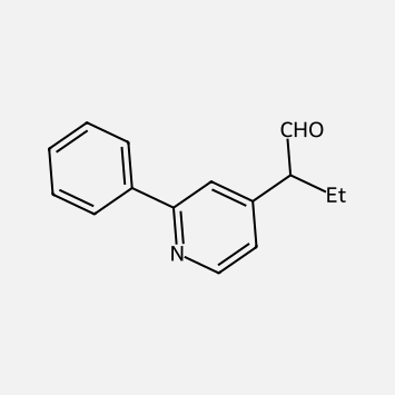 [CH2]CC(C=O)c1ccnc(-c2ccccc2)c1